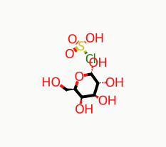 O=S(=O)(O)Cl.OC[C@H]1O[C@H](O)[C@H](O)[C@@H](O)[C@H]1O